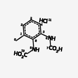 Cc1cccc(NC(=O)O)c1NC(=O)O.Cl